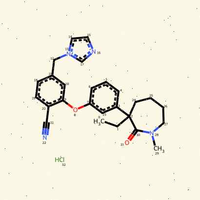 CCC1(c2cccc(Oc3cc(Cn4ccnc4)ccc3C#N)c2)CCCCN(C)C1=O.Cl